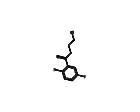 O=C(CCCCl)c1cc(F)ccc1F